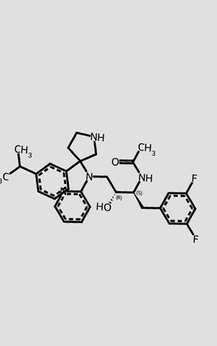 CC(=O)N[C@@H](Cc1cc(F)cc(F)c1)[C@H](O)CN(c1ccccn1)C1(c2cccc(C(C)C)c2)CCNC1